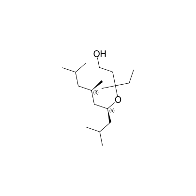 CCC(C)(CCO)O[C@@H](CC(C)C)C[C@H](C)CC(C)C